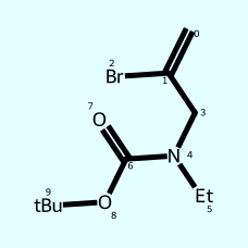 C=C(Br)CN(CC)C(=O)OC(C)(C)C